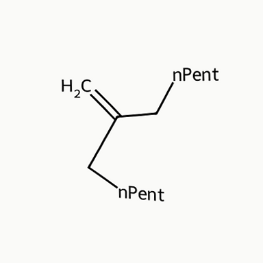 C=C(CCCC[CH]C)CCCCCC